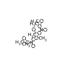 Cc1cc2cc(N(c3ccccc3)c3ccc4c(c3)-c3ccccc3C4(C)C)ccc2cc1-c1ccc(N(c2ccccc2)c2ccc3c(c2)-c2ccccc2C3(C)C)cc1C(C)c1ccccc1